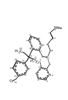 CNCCCCN(Cc1ncccc1C(F)(F)F)Cc1ncccc1C(C)(C)c1ccc(Cl)cc1